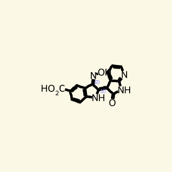 O=C1Nc2ncccc2/C1=C1/Nc2ccc(C(=O)O)cc2/C1=N/O